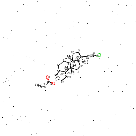 CCCCCCC(=O)O[C@@H]1C=C2CC[C@@H]3[C@H](CC[C@]4(CC)[C@H](C#CCl)CC[C@@H]34)[C@H]2CC1